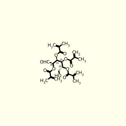 C=C(C)C(=O)O[C@H]([C@H](OC(=O)C(=C)C)[C@H](C=O)OC(=O)C(=C)C)[C@@H](CO)OC(=O)C(=C)C